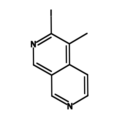 Cc1c(I)ncc2cnccc12